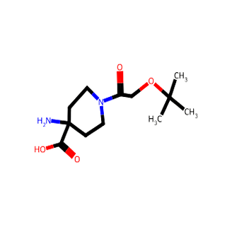 CC(C)(C)OCC(=O)N1CCC(N)(C(=O)O)CC1